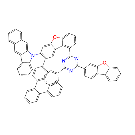 c1ccc(-c2nc(-c3ccc4c(c3)oc3ccccc34)nc(-c3cccc4oc5cc(-n6c7ccccc7c7cc8ccccc8cc76)c(-c6ccc(-c7ccccc7-c7ccccc7)cc6)cc5c34)n2)cc1